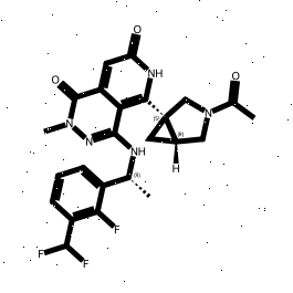 CC(=O)N1C[C@@H]2C[C@@]2(c2[nH]c(=O)cc3c(=O)n(C)nc(N[C@H](C)c4cccc(C(F)F)c4F)c23)C1